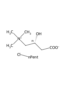 CCCCCCl.C[N+](C)(C)C[C@H](O)CC(=O)[O-]